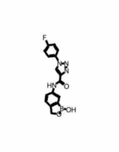 O=C(Nc1ccc2c(c1)B(O)OC2)c1cn(-c2ccc(F)cc2)nn1